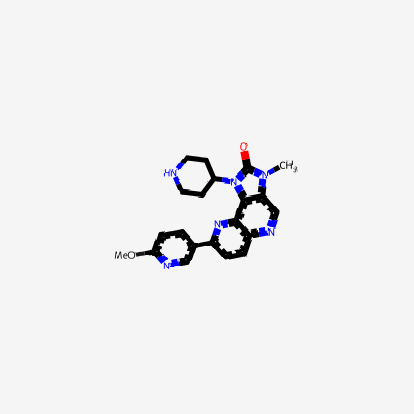 COc1ccc(-c2ccc3ncc4c(c3n2)n(C2CCNCC2)c(=O)n4C)cn1